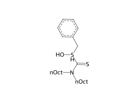 CCCCCCCCN(CCCCCCCC)C(=S)[SH](O)Cc1ccccc1